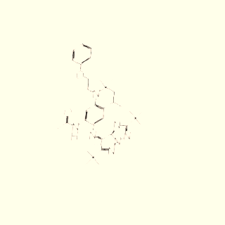 CC(=O)Nc1cc2c(cc1/N=C1/C(C(C)(C)C)=Nn3nc(C(C)(C)C)nc31)C(C)CC(C)(C)N2CCOc1ccccc1